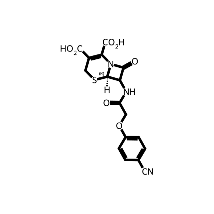 N#Cc1ccc(OCC(=O)NC2C(=O)N3C(C(=O)O)=C(C(=O)O)CS[C@H]23)cc1